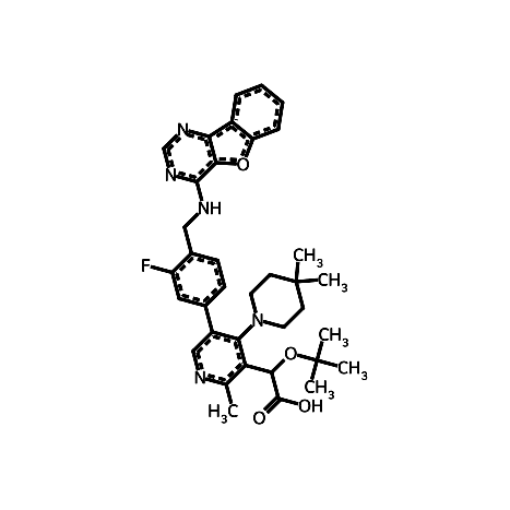 Cc1ncc(-c2ccc(CNc3ncnc4c3oc3ccccc34)c(F)c2)c(N2CCC(C)(C)CC2)c1C(OC(C)(C)C)C(=O)O